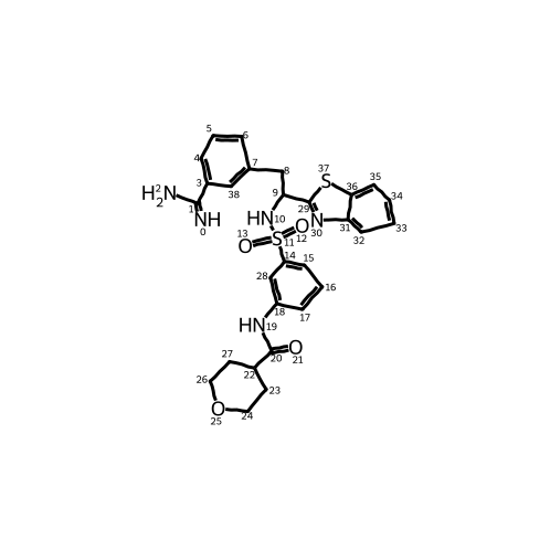 N=C(N)c1cccc(CC(NS(=O)(=O)c2cccc(NC(=O)C3CCOCC3)c2)c2nc3ccccc3s2)c1